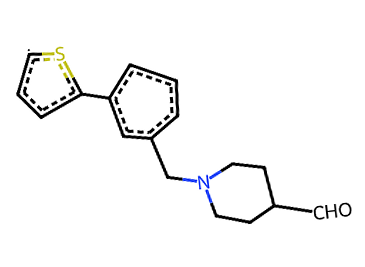 O=CC1CCN(Cc2cccc(-c3cc[c]s3)c2)CC1